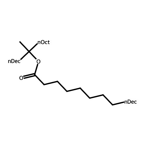 CCCCCCCCCCCCCCCCCC(=O)OC(C)(CCCCCCCC)CCCCCCCCCC